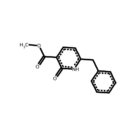 COC(=O)c1ccc(Cc2ccccc2)[nH]c1=O